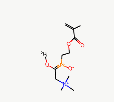 [2H]OC(C[N+](C)(C)C)=[P+]([O-])CCOC(=O)C(=C)C